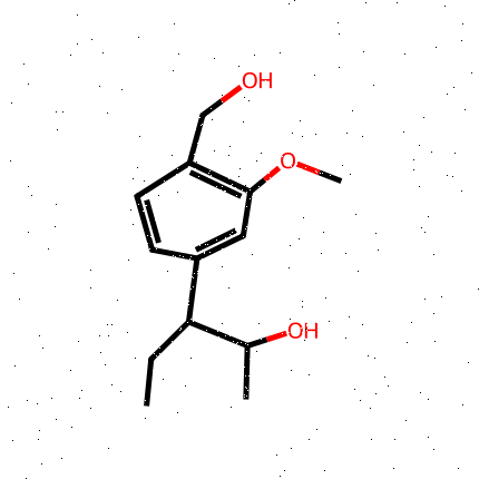 CCC(c1ccc(CO)c(OC)c1)C(C)O